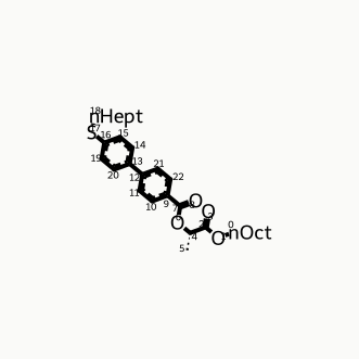 CCCCCCCCOC(=O)[C@H](C)OC(=O)c1ccc(-c2ccc(SCCCCCCC)cc2)cc1